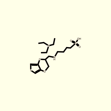 CCN(CC)CC.O=S(=O)(O)CCCCNCC1COc2cscc2O1